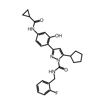 O=C(Nc1ccc(-c2cc(C3CCCC3)n(C(=O)NCc3ccccc3F)n2)c(O)c1)C1CC1